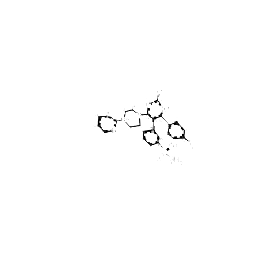 NS(=O)(=O)c1cccc(-c2c(-c3ccc(F)cc3)nc(C(F)(F)F)nc2N2CCN(c3ccccn3)CC2)c1